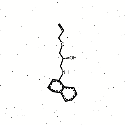 C=CCOCC(O)CNc1cccc2ccccc12